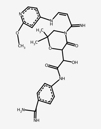 COc1cc(N/C=C\C(=N)N2CC(C)(C)OC(C(O)C(=O)Nc3ccc(C(=N)N)cc3)C2=O)ccn1